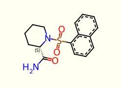 NC(=O)[C@@H]1CCCCN1S(=O)(=O)c1cccc2ccccc12